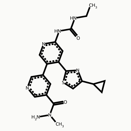 CCNC(=O)Nc1cc(-c2nc(C3CC3)cs2)c(-c2cncc(C(=O)N(C)N)c2)cn1